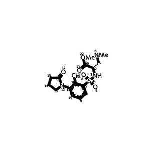 CNC[C@H](NS(=O)(=O)c1cccc(N2CCCC2=O)c1C)C(=O)OC